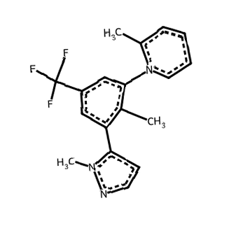 Cc1c(-c2ccnn2C)cc(C(F)(F)F)cc1-[n+]1ccccc1C